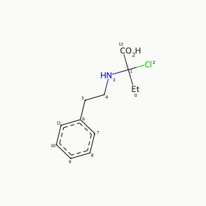 CCC(Cl)(NCCc1ccccc1)C(=O)O